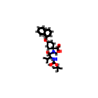 CC(C)[C@H](NC(=O)OC(C)(C)C)C(=O)N(C)[C@]1(C(=O)O)CC[C@H](Oc2cccc3ccccc23)CC1